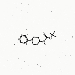 CN(C(=O)OC(C)(C)C)C1CCN(c2ccncn2)CC1